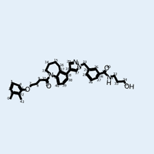 Cc1cccc(OCCCC(=O)N2CCCCc3c(-c4cnn(Cc5cccc(C(=O)NCCCO)c5)c4)cccc32)c1C